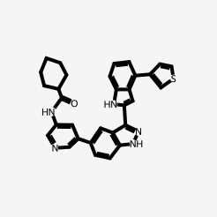 O=C(Nc1cncc(-c2ccc3[nH]nc(-c4cc5c(-c6ccsc6)cccc5[nH]4)c3c2)c1)C1CCCCC1